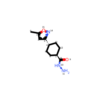 Cc1cc([C@H]2CC[C@H](C(=O)NN)CC2)no1